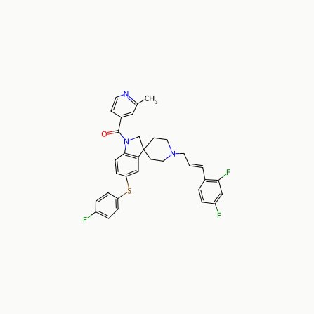 Cc1cc(C(=O)N2CC3(CCN(C/C=C/c4ccc(F)cc4F)CC3)c3cc(Sc4ccc(F)cc4)ccc32)ccn1